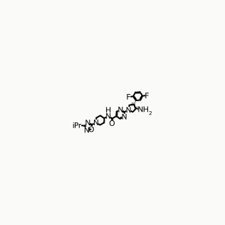 CC(C)c1noc(N2CCC(NC(=O)c3cnc(N4C[C@H](c5cc(F)ccc5F)[C@@H](N)C4)nc3)CC2)n1